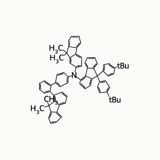 CC(C)(C)c1ccc(C2(c3ccc(C(C)(C)C)cc3)c3ccccc3-c3c(N(c4ccc(-c5ccccc5-c5cccc6c5C(C)(C)c5ccccc5-6)cc4)c4ccc5c(c4)C(C)(C)c4ccccc4-5)cccc32)cc1